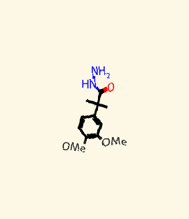 COc1ccc(C(C)(C)C(=O)NN)cc1OC